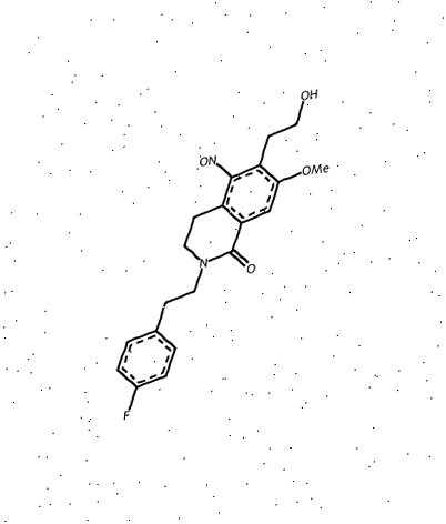 COc1cc2c(c(N=O)c1CCO)CCN(CCc1ccc(F)cc1)C2=O